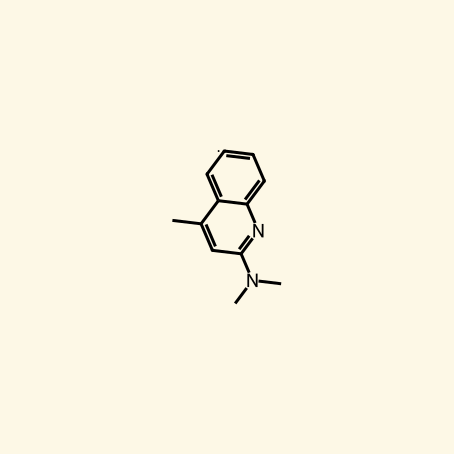 Cc1cc(N(C)C)nc2cc[c]cc12